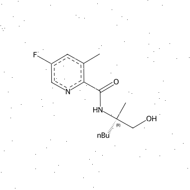 CCCC[C@](C)(CO)NC(=O)c1ncc(F)cc1C